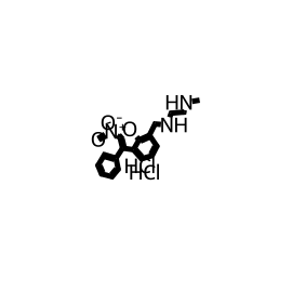 CNCCNCc1cccc2c(-c3ccccc3)c([N+](=O)[O-])oc12.Cl.Cl